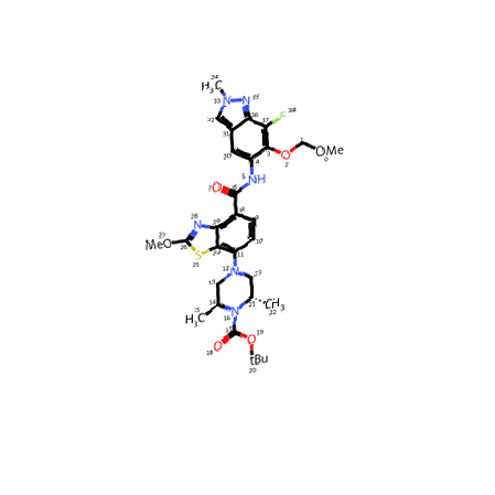 COCOc1c(NC(=O)c2ccc(N3C[C@H](C)N(C(=O)OC(C)(C)C)[C@@H](C)C3)c3sc(OC)nc23)cc2cn(C)nc2c1F